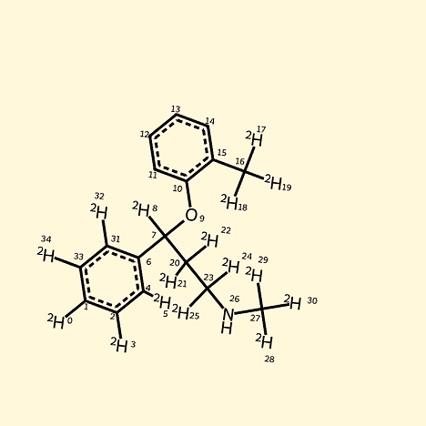 [2H]c1c([2H])c([2H])c(C([2H])(Oc2ccccc2C([2H])([2H])[2H])C([2H])([2H])C([2H])([2H])NC([2H])([2H])[2H])c([2H])c1[2H]